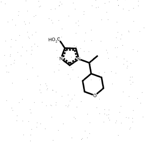 CC(C1CCOCC1)n1cnc(C(=O)O)c1